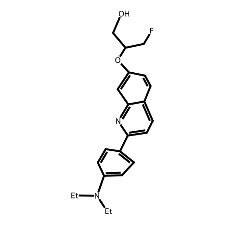 CCN(CC)c1ccc(-c2ccc3ccc(OC(CO)CF)cc3n2)cc1